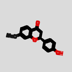 COc1ccc2c(c1)O[C@H](c1ccc(O)cc1)CC2=O